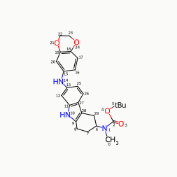 CN(C(=O)OC(C)(C)C)C1CCc2[nH]c3cc(Nc4ccc5c(c4)OCCO5)ccc3c2C1